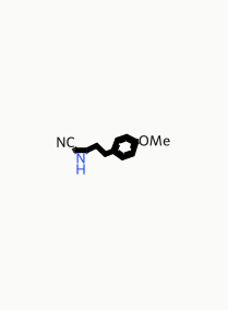 COc1ccc(CCC2NC2C#N)cc1